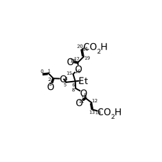 C=CC(=O)OCC(CC)(COC(=O)/C=C/C(=O)O)COC(=O)/C=C/C(=O)O